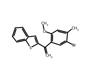 C=C(c1cc2ccccc2s1)c1cc(Br)c(C)cc1OC